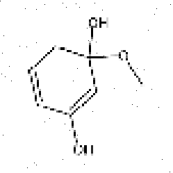 COC1(O)C=C(O)C=CC1